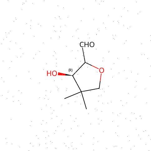 CC1(C)COC(C=O)[C@@H]1O